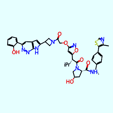 Cc1ncsc1-c1ccc([C@H](C)NC(=O)[C@@H]2C[C@@H](O)CN2C(=O)[C@@H](c2cc(OCC(=O)N3CC(c4cc5cc(-c6ccccc6O)nnc5[nH]4)C3)no2)C(C)C)cc1